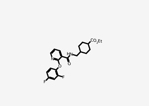 CCOC(=O)C1CCC(CNC(=O)c2cccnc2Oc2ccc(F)cc2F)CC1